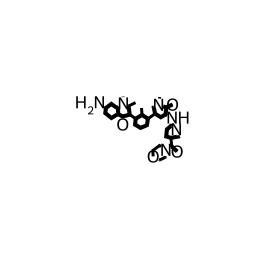 Cc1c(-c2cc(Nc3ccc(C(=O)N4CCOCC4)cn3)c(=O)n(C)c2)cccc1-c1c(C)n(C)c2cc(N)ccc2c1=O